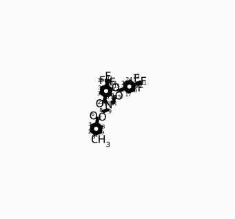 Cc1ccc(C(=O)OCCN(CCOC(=O)c2ccc(C(F)(F)F)cc2)C(=O)c2ccc(C(F)(F)F)cc2)cc1